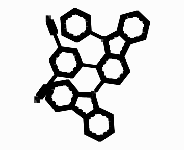 N#Cc1cc(C#N)cc(-c2c(-n3c4ccccc4c4ccccc43)ccc3c4ccccc4n(-c4ccccc4)c23)c1